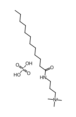 CCCCCCCCCCCC(=O)NCCC[N+](C)(C)C.O=S(=O)(O)O